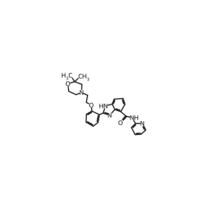 CC1(C)CN(CCOc2ccccc2-c2nc3c(C(=O)Nc4ccccn4)cccc3[nH]2)CCO1